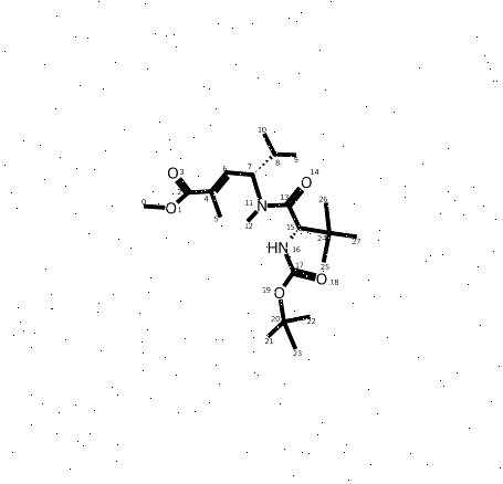 COC(=O)/C(C)=C/[C@H](C(C)C)N(C)C(=O)[C@@H](NC(=O)OC(C)(C)C)C(C)(C)C